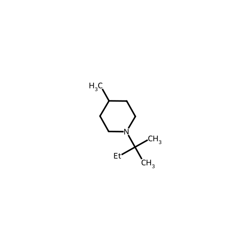 CCC(C)(C)N1CCC(C)CC1